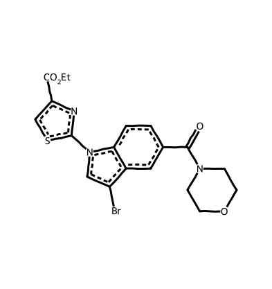 CCOC(=O)c1csc(-n2cc(Br)c3cc(C(=O)N4CCOCC4)ccc32)n1